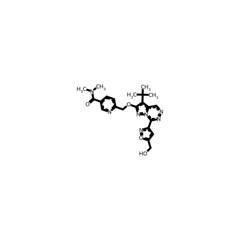 CN(C)C(=O)c1ccc(COc2nn3c(-c4cc(CO)on4)nncc3c2C(C)(C)C)nc1